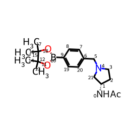 CC(=O)N[C@H]1CCN(Cc2ccc(B3OC(C)(C)C(C)(C)O3)cc2)C1